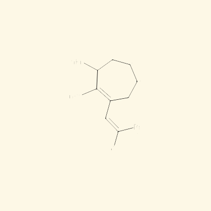 CCCC1=C(/C=C(/Cl)Br)CCCCC1CCC